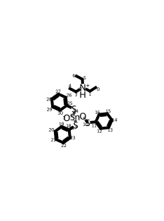 CC[NH+](CC)CC.[O-][Sn]([O]Sc1ccccc1)([S]c1ccccc1)[S]c1ccccc1